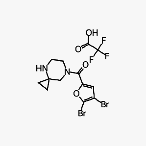 O=C(O)C(F)(F)F.O=C(c1cc(Br)c(Br)o1)N1CCNC2(CC2)C1